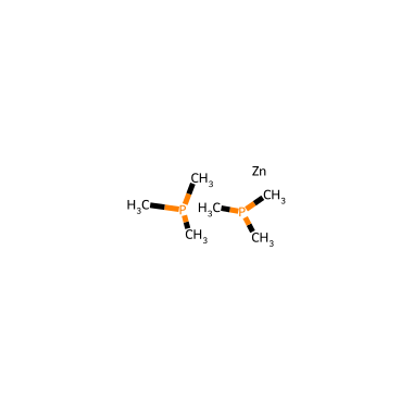 CP(C)C.CP(C)C.[Zn]